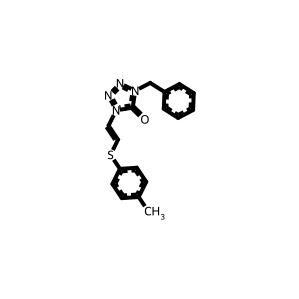 Cc1ccc(S/C=C/n2nnn(Cc3ccccc3)c2=O)cc1